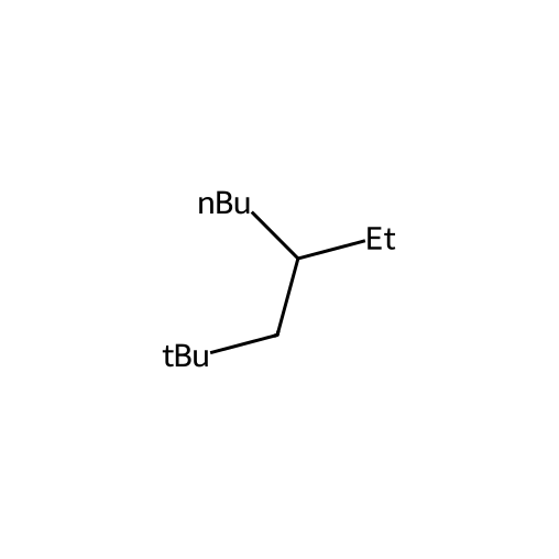 [CH2]CC(CCCC)CC(C)(C)C